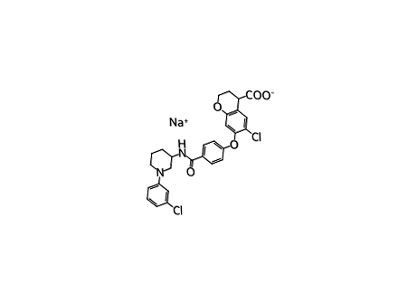 O=C(NC1CCCN(c2cccc(Cl)c2)C1)c1ccc(Oc2cc3c(cc2Cl)C(C(=O)[O-])CCO3)cc1.[Na+]